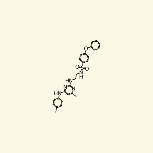 Cc1ccc(Nc2cc(C)nc(NCCNS(=O)(=O)c3ccc(Oc4ccccc4)cc3)n2)cc1